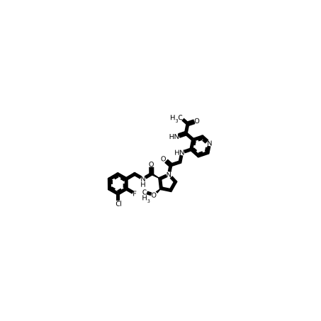 CO[C@@H]1CCN(C(=O)CNc2ccncc2C(=N)C(C)=O)[C@@H]1C(=O)NCc1cccc(Cl)c1F